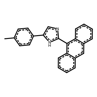 Cc1ccc(-c2cnc(-c3c4ccccc4cc4ccccc34)[nH]2)cc1